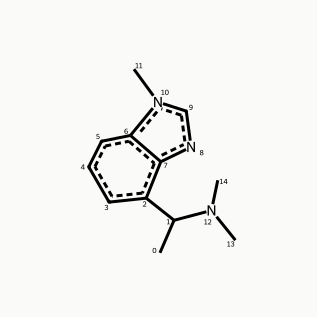 CC(c1cccc2c1ncn2C)N(C)C